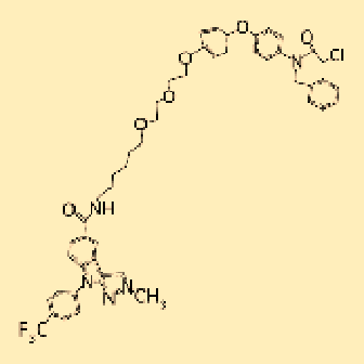 Cn1cc2c3cc(C(=O)NCCCCCCOCCOCCOC4=CCC(Oc5ccc(N(Cc6ccccc6)C(=O)CCl)cc5)C=C4)ccc3n(-c3ccc(C(F)(F)F)cc3)c2n1